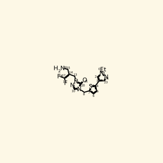 CCn1cc(-c2ccc(Cn3cnn(CC(CN)=C(F)F)c3=O)s2)cn1